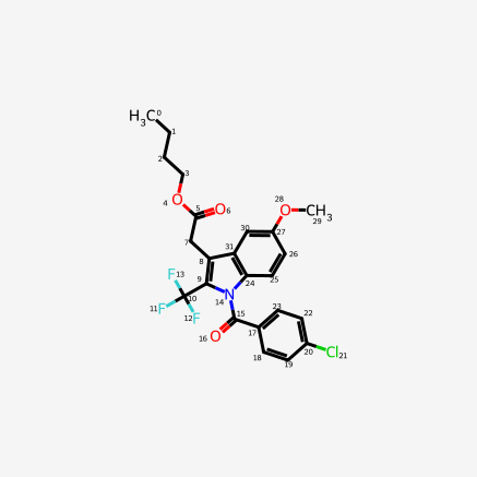 CCCCOC(=O)Cc1c(C(F)(F)F)n(C(=O)c2ccc(Cl)cc2)c2ccc(OC)cc12